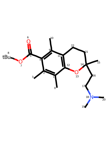 Cc1c(C)c(C(=O)OC(C)(C)C)c(C)c2c1OC(C)(CCN(C)C)CC2